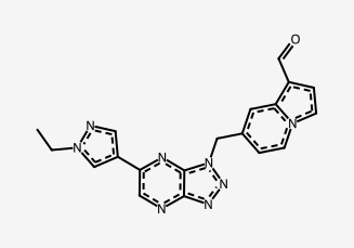 CCn1cc(-c2cnc3nnn(Cc4ccn5ccc(C=O)c5c4)c3n2)cn1